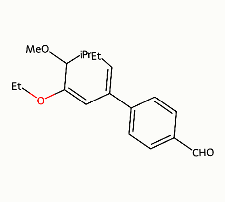 CC/C=C(\C=C(\OCC)C(OC)C(C)C)c1ccc(C=O)cc1